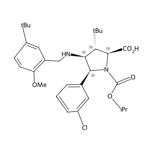 COc1ccc(C(C)(C)C)cc1CN[C@H]1[C@H](C(C)(C)C)[C@@H](C(=O)O)N(C(=O)OC(C)C)[C@H]1c1cccc(Cl)c1